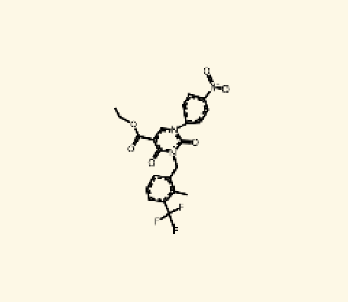 CCOC(=O)c1cn(-c2ccc([N+](=O)[O-])cc2)c(=O)n(Cc2cccc(C(F)(F)F)c2C)c1=O